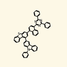 c1ccc(-c2nc(-c3ccccc3)nc(-c3ccc(-c4cc(-c5ccc6c(c5)c5ccccc5n6-c5ccccc5)c5c(c4)sc4ccccc45)c4ccccc34)n2)cc1